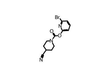 N#CC1CCN(C(=O)Oc2cccc(Br)n2)CC1